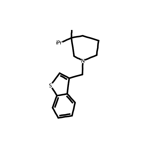 CC(C)C1(C)CCCN(Cc2csc3ccccc23)C1